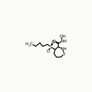 CCCCCS(=O)(=O)C1CCCSNC1C(=O)NO